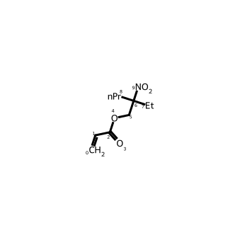 C=CC(=O)OCC(CC)(CCC)[N+](=O)[O-]